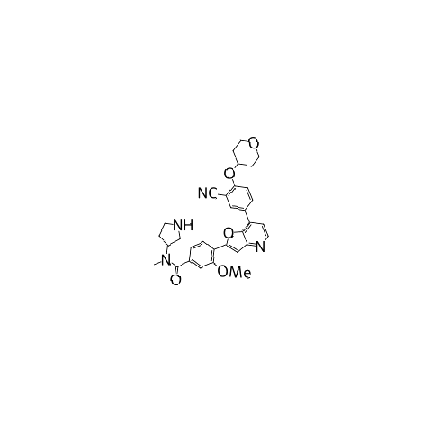 COc1cc(C(=O)N(C)C2CCNC2)ccc1-c1cc2nccc(-c3ccc(OC4CCOCC4)c(C#N)c3)c2o1